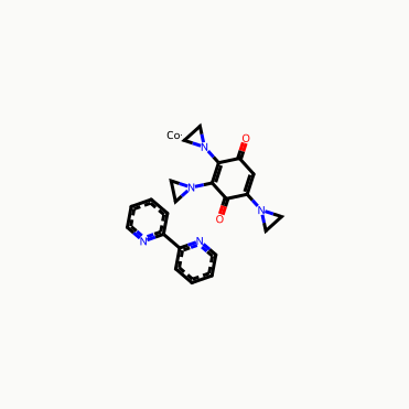 O=C1C=C(N2CC2)C(=O)C(N2CC2)=C1N1CC1.[Co].c1ccc(-c2ccccn2)nc1